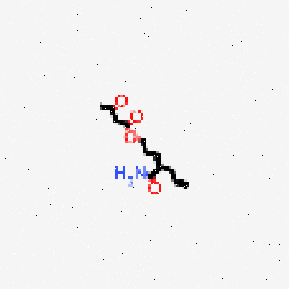 C=CCC(=CCCOC(=O)CC(C)=O)C(N)=O